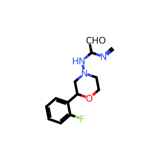 C=NC(C=O)NN1CCOC(c2ccccc2F)C1